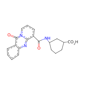 O=C(NC1CCCC(C(=O)O)C1)c1cccn2c(=O)c3ccccc3nc12